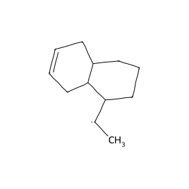 C[CH]C1CCCC2CC=CCC12